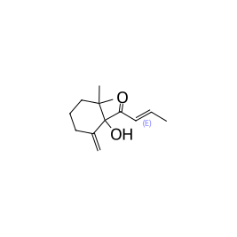 C=C1CCCC(C)(C)C1(O)C(=O)/C=C/C